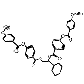 CCCCOc1ccc(C(=O)Oc2ccc(C(=O)OCC(OC(=O)c3ccc(OC(=O)c4ccc(OCCCC)cc4)cc3)C3CCCCC3)cc2)cc1